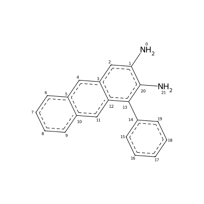 Nc1cc2cc3ccccc3cc2c(-c2ccccc2)c1N